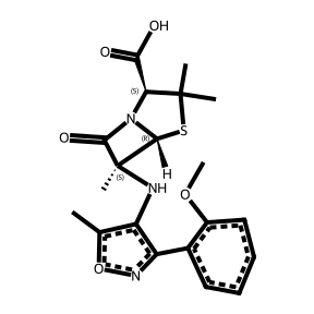 COc1ccccc1-c1noc(C)c1N[C@@]1(C)C(=O)N2[C@@H](C(=O)O)C(C)(C)S[C@@H]21